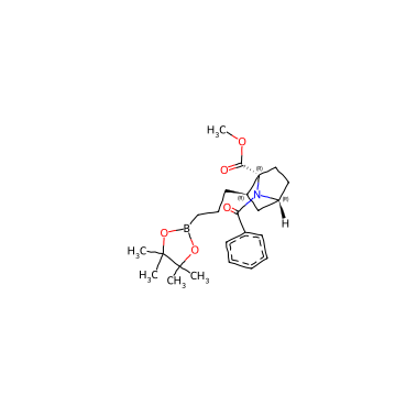 COC(=O)[C@@]12CC[C@H](C[C@H]1CCCB1OC(C)(C)C(C)(C)O1)N2C(=O)c1ccccc1